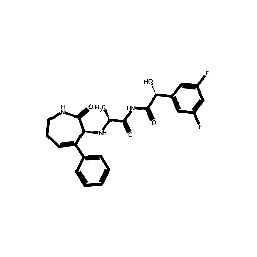 C[C@H](N[C@@H]1C(=O)NCCC=C1c1ccccc1)C(=O)NC(=O)[C@H](O)c1cc(F)cc(F)c1